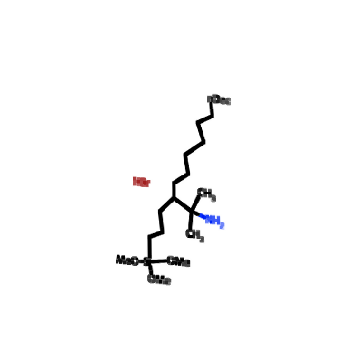 Br.CCCCCCCCCCCCCCCCC(CCC[Si](OC)(OC)OC)C(C)(C)N